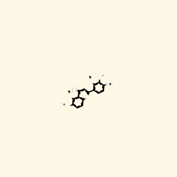 COc1ccc(-c2cc(=O)c3c(OC)c(OC)ccc3o2)c(OC)c1OC